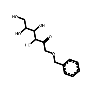 O=C(COCc1ccccc1)C(O)C(O)C(O)CO